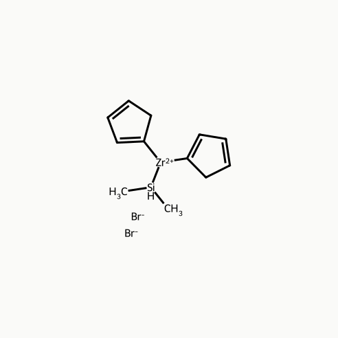 C[SiH](C)[Zr+2]([C]1=CC=CC1)[C]1=CC=CC1.[Br-].[Br-]